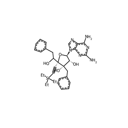 CC[Si](C#C[C@]1(C(O)Cc2ccccc2)O[C@@H](n2cnc3c(N)nc(N)nc32)[C@H](O)[C@@]1(O)Cc1ccccc1)(CC)CC